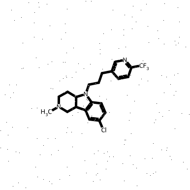 CN1CCC2C(C1)c1cc(Cl)ccc1N2CCCc1ccc(C(F)(F)F)nc1